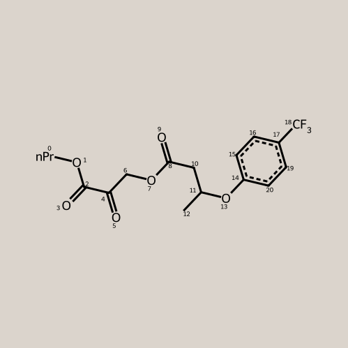 CCCOC(=O)C(=O)COC(=O)CC(C)Oc1ccc(C(F)(F)F)cc1